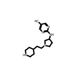 N#Cc1cnc(NC2CCN(CCC3CCNCC3)C2)nc1